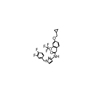 O=C(Cc1ccc(OCC2CC2)cc1OC(F)(F)F)Nc1ccn(Cc2ccc(F)c(F)c2)n1